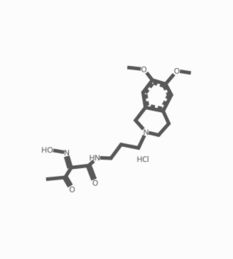 COc1cc2c(cc1OC)CN(CCCNC(=O)C(=NO)C(C)=O)CC2.Cl